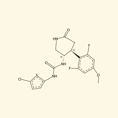 COc1cc(F)c([C@@H]2CC(=O)NC[C@H]2NC(=O)Nc2ccc(Cl)s2)c(F)c1